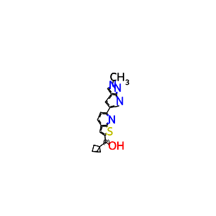 Cn1cc2cc(-c3ccc4cc([C@H](O)C56CC(C5)C6)sc4n3)cnc2n1